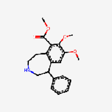 COC(=O)c1c2c(cc(OC)c1OC)C(c1ccccc1)CNCC2